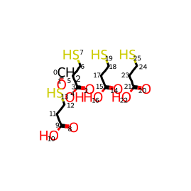 C=O.O=C(O)CCS.O=C(O)CCS.O=C(O)CCS.O=C(O)CCS